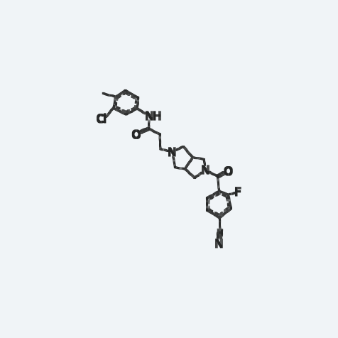 Cc1ccc(NC(=O)CCN2CC3CN(C(=O)c4ccc(C#N)cc4F)CC3C2)cc1Cl